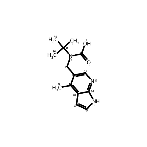 Cc1c(CN(C(=O)O)C(C)(C)C)cnc2[nH]ccc12